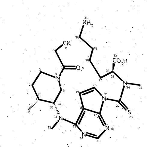 C[C@@H]1CCN(C(=O)CC#N)C[C@@H]1N(C)c1ncnc2c1ccn2C(=S)N(C)[C@@H](CCCCN)C(=O)O